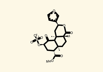 COC(=O)[C@@H]1C[C@@H](OS(=O)(=O)C(F)(F)F)C(=O)C2[C@@]1(C)CC[C@H]1C(=O)O[C@H](c3ccoc3)C[C@]21C